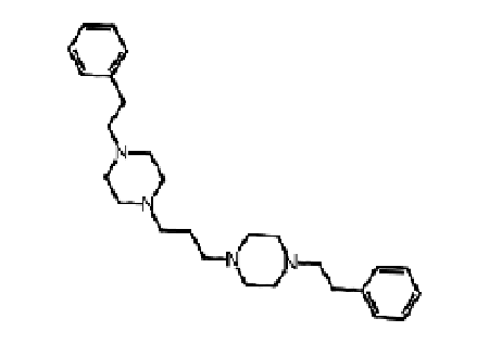 c1ccc(CCN2CCN(CCCN3CCN(CCc4ccccc4)CC3)CC2)cc1